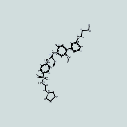 C=N/C(=N\c1cc(OC)c(-c2cccc(OCCCC)c2)cc1C)Nc1ccc(S(=O)(=O)NCCN2CCCC2)cc1